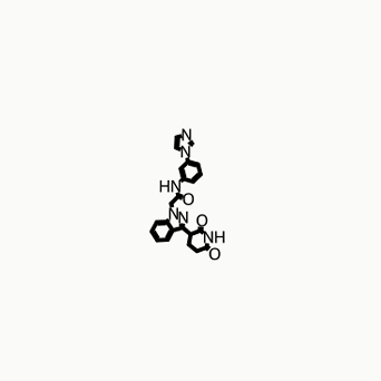 O=C1CCC(c2nn(CC(=O)Nc3cccc(-n4ccnc4)c3)c3ccccc23)C(=O)N1